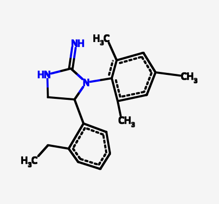 CCc1ccccc1C1CNC(=N)N1c1c(C)cc(C)cc1C